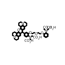 O=C(O)CN(CC(=O)O)c1ccccc1OCCOCCOc1cc(C2=c3cc4c5c(c3Oc3c2cc2c6c3CCCN6CCC2)CCC[N+]=5CCC4)ccc1N(CC(=O)O)CC(=O)O